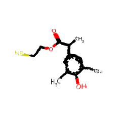 Cc1cc(C(C)C(=O)OCCS)cc(C(C)(C)C)c1O